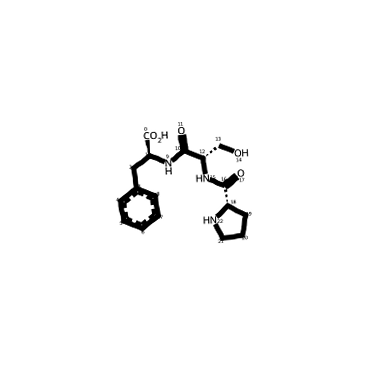 O=C(O)[C@H](Cc1ccccc1)NC(=O)[C@H](CO)NC(=O)[C@@H]1CCCN1